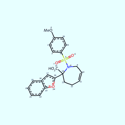 COc1ccc(S(=O)(=O)N2CC=CCCC2(C(=O)O)c2cc3ccccc3o2)cc1